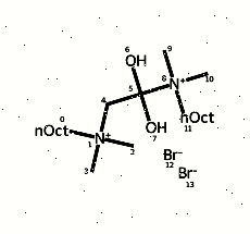 CCCCCCCC[N+](C)(C)CC(O)(O)[N+](C)(C)CCCCCCCC.[Br-].[Br-]